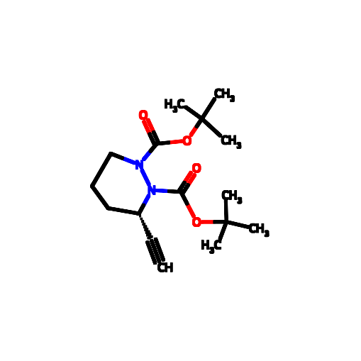 C#C[C@@H]1CCCN(C(=O)OC(C)(C)C)N1C(=O)OC(C)(C)C